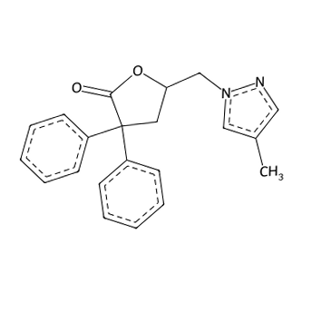 Cc1cnn(CC2CC(c3ccccc3)(c3ccccc3)C(=O)O2)c1